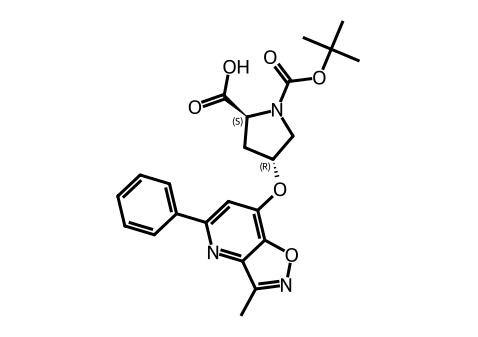 Cc1noc2c(O[C@@H]3C[C@@H](C(=O)O)N(C(=O)OC(C)(C)C)C3)cc(-c3ccccc3)nc12